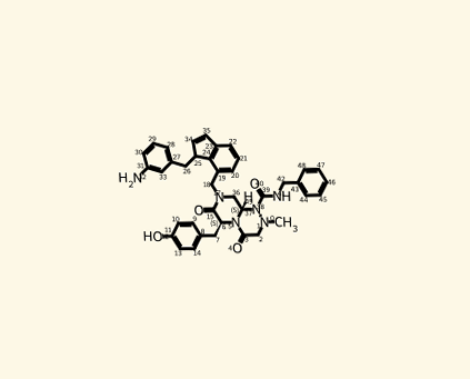 CN1CC(=O)N2[C@@H](Cc3ccc(O)cc3)C(=O)N(Cc3cccc4c3C(Cc3cccc(N)c3)C=C4)C[C@@H]2N1C(=O)NCc1ccccc1